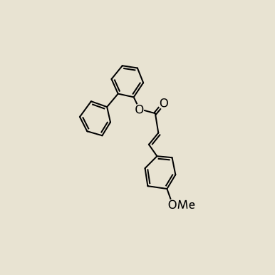 COc1ccc(C=CC(=O)Oc2ccccc2-c2ccccc2)cc1